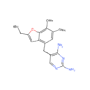 COc1cc(Cc2cnc(N)nc2N)c2cc(CC(C)(C)C)oc2c1OC